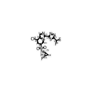 C[C@]1(NS(=O)(=O)c2cc(Cl)c3cnc(-c4nnc(C(F)F)s4)n3c2)C[C@H]1F